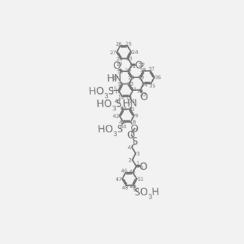 O=C(CCCSOOc1cc(Nc2cc(S(=O)(=O)O)c3[nH]c(=O)c(C(=O)c4ccccc4)c4c3c2C(=O)c2ccccc2-4)c(S(=O)(=O)O)cc1S(=O)(=O)O)c1cccc(S(=O)(=O)O)c1